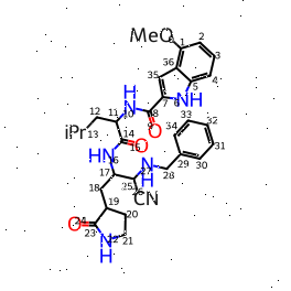 COc1cccc2[nH]c(C(=O)NC(CC(C)C)C(=O)NC(CC3CCNC3=O)C(C#N)NCc3ccccc3)cc12